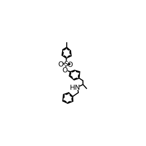 Cc1ccc(S(=O)(=O)Oc2ccc(CC(C)NCc3ccccc3)cc2)cc1